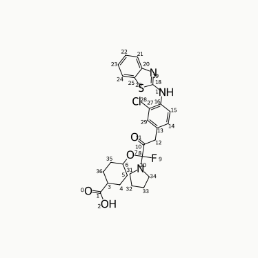 O=C(O)C1CCC(OC(F)(C(=O)Cc2ccc(Nc3nc4ccccc4s3)c(Cl)c2)N2CCCC2)CC1